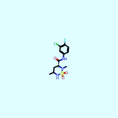 CC1C[C@@H](C(=O)Nc2ccc(F)c(Cl)c2)N(C)S(=O)(=O)N1